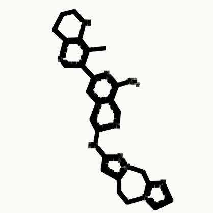 Cc1c(-c2cc3cc(Nc4cc5n(n4)Cc4nccn4CC5)ncc3c(N)n2)cnc2c1NCCC2